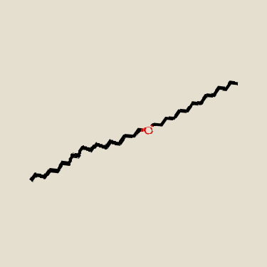 CCCCCCCCCCCCCCCCCCOCCCCCCCCCCCCCC